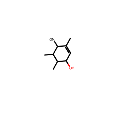 CC1=CC(O)C(C)C(C)C1N=O